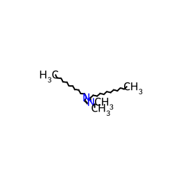 CCCCCCCCCCCC1N(CCCCCCCCCCC)C=CN1C(C)C